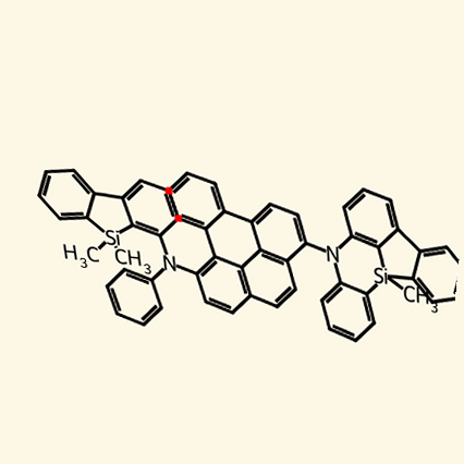 C[Si]1(C)c2ccccc2-c2cccc(N(c3ccccc3)c3ccc4ccc5c(N6c7ccccc7[Si]7(C)c8ccccc8-c8cccc6c87)ccc6c7ccccc7c3c4c56)c21